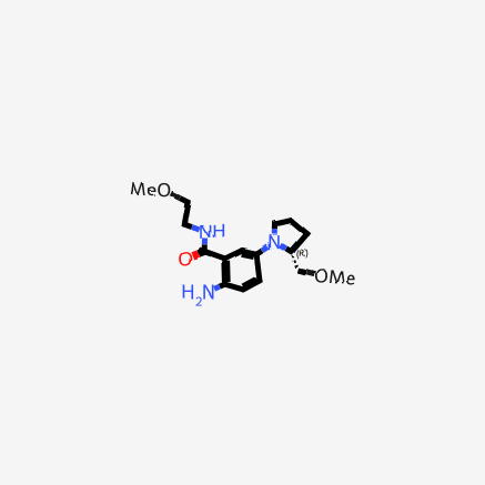 COCCNC(=O)c1cc(N2CCC[C@@H]2COC)ccc1N